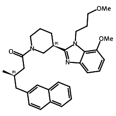 COCCCn1c([C@@H]2CCCN(C(=O)C[C@H](C)Cc3ccc4ccccc4c3)C2)nc2cccc(OC)c21